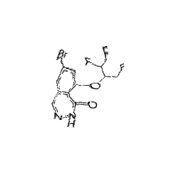 O=c1[nH]ncc2cc(Br)cc(OC(CF)C(F)F)c12